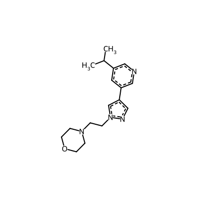 CC(C)c1cncc(-c2cnn(CCN3CCOCC3)c2)c1